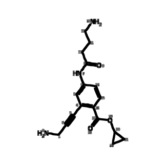 NCC#Cc1cc(NC(=O)CCCN)ccc1C(=O)OC1CC1